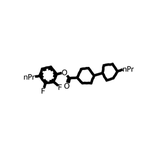 CCCc1ccc(OC(=O)C2CCC(C3CCC(CCC)CC3)CC2)c(F)c1F